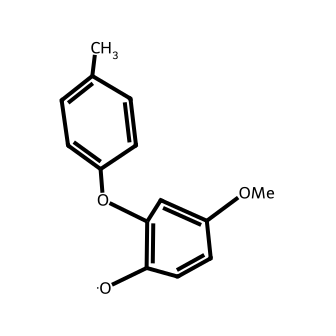 COc1ccc([O])c(Oc2ccc(C)cc2)c1